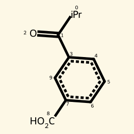 CC(C)C(=O)c1cccc(C(=O)O)c1